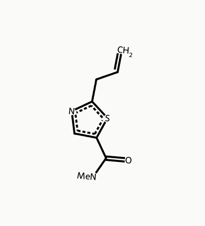 C=CCc1ncc(C(=O)NC)s1